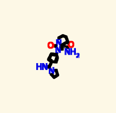 N=C(c1ccc(N2C[C@@]3(C(N)=O)[CH]CCCN3C2=O)cc1)N1CCCC1